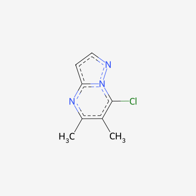 Cc1nc2ccnn2c(Cl)c1C